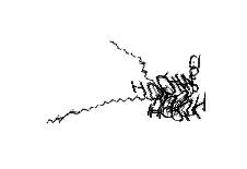 CCCCCCCCCCCCCCCCCCCCCCCCCCN[C@@H](CO[C@H]1O[C@H](COC(=S)Nc2cccc(Cl)c2)[C@H](O)[C@H](O)[C@H]1O)[C@H](O)[C@H](O)CCCCCCCCCCCCCC